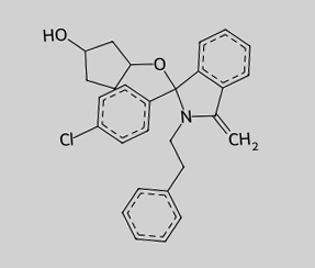 C=C1c2ccccc2C(OC2CCC(O)C2)(c2ccc(Cl)cc2)N1CCc1ccccc1